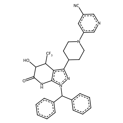 N#Cc1cncc(N2CCC(c3nn(C(c4ccccc4)c4ccccc4)c4c3C(C(F)(F)F)C(O)C(=O)N4)CC2)c1